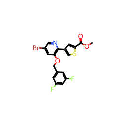 COC(=O)c1cc(-c2ncc(Br)cc2OCc2cc(F)cc(F)c2)cs1